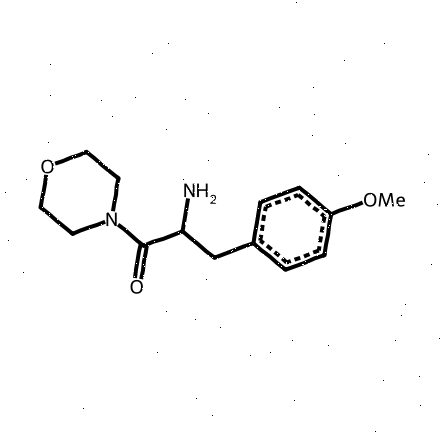 COc1ccc(CC(N)C(=O)N2CCOCC2)cc1